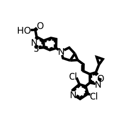 O=C(O)c1nsc2cc(N3CC4C(C=Cc5c(-c6c(Cl)cncc6Cl)noc5C5CC5)C4C3)ccc12